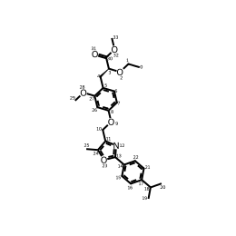 CCO[C@@H](Cc1ccc(OCc2nc(-c3ccc(C(C)C)cc3)oc2C)cc1OC)C(=O)OC